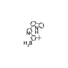 Bc1cc(-c2cc(-c3cccc4c3[nH]c3ccccc34)ccn2)cc(C(C)(C)C)c1